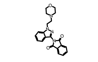 O=C1c2ccccc2C(=O)N1c1nn(CCN2CCOCC2)c2ccccc12